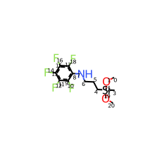 CO[Si](C)(CCCNc1c(F)c(F)c(F)c(F)c1F)OC